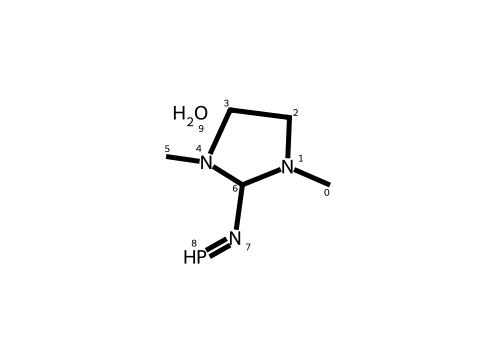 CN1CCN(C)C1N=P.O